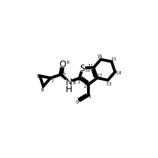 C=Cc1c(NC(=O)C2CC2)sc2c1CCCC2